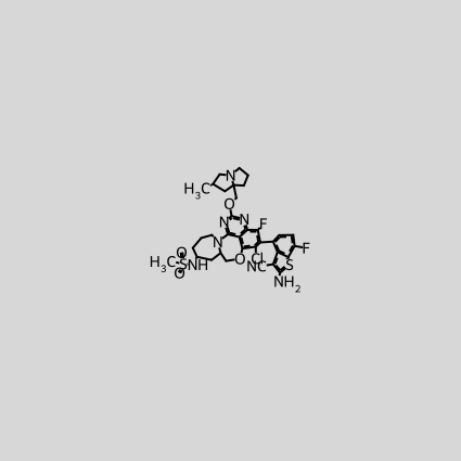 C[C@H]1CN2CCCC2(COc2nc3c4c(c(Cl)c(-c5ccc(F)c6sc(N)c(C#N)c56)c(F)c4n2)OCC2CC(NS(C)(=O)=O)CCCN32)C1